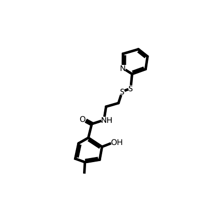 Cc1ccc(C(=O)NCCSSc2ccccn2)c(O)c1